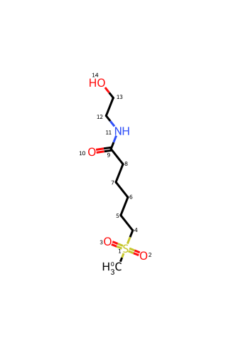 CS(=O)(=O)CCCCCC(=O)NCCO